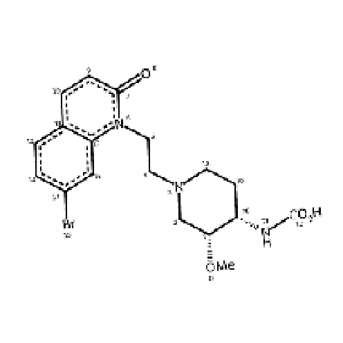 CO[C@@H]1CN(CCn2c(=O)ccc3ccc(Br)cc32)CC[C@@H]1NC(=O)O